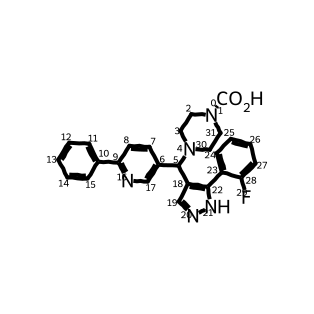 O=C(O)N1CCN(C(c2ccc(-c3ccccc3)nc2)c2cn[nH]c2-c2ccccc2F)CC1